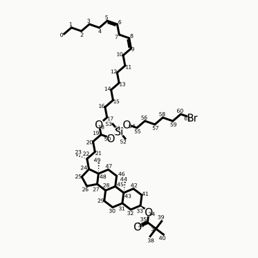 CCCCC/C=C\C/C=C\CCCCCCCCOC(CC[C@@H](C)C1CCC2C3CCC4C[C@H](OC(=O)C(C)(C)C)CC[C@]4(C)C3CC[C@@]21C)O[Si](C)(C)OCCCCCCBr